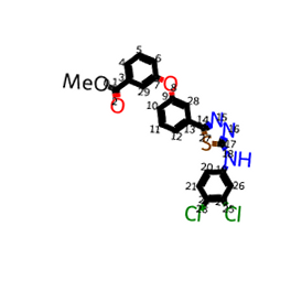 COC(=O)c1cccc(Oc2cccc(-c3nnc(Nc4ccc(Cl)c(Cl)c4)s3)c2)c1